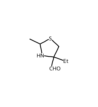 CCC1(C=O)CSC(C)N1